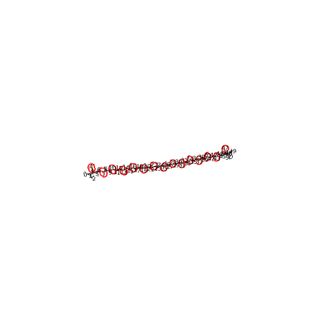 CC(C)C(=O)CCOCCOCCOCCOCCOCCOCCOCCOCCOCCOCCOCCOCCOCCC(=O)C(C)C